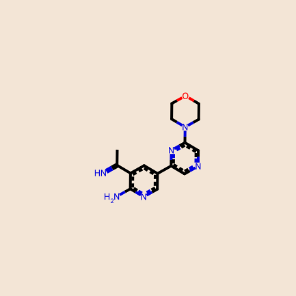 CC(=N)c1cc(-c2cncc(N3CCOCC3)n2)cnc1N